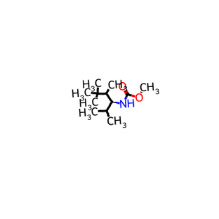 COC(=O)N[C@@H](C(C)C)C(C)C(C)(C)C